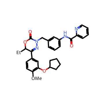 CCC1OC(=O)N(Cc2cccc(NC(=O)c3ccccn3)c2)N=C1c1ccc(OC)c(OC2CCCC2)c1